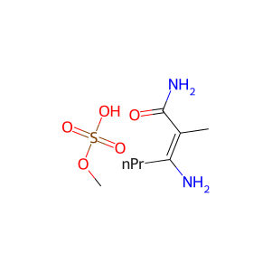 CCC/C(N)=C(/C)C(N)=O.COS(=O)(=O)O